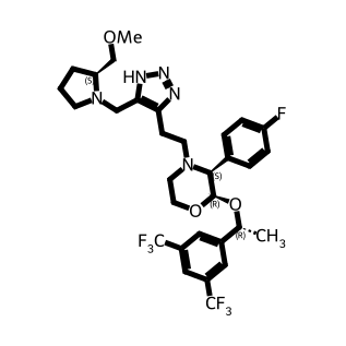 COC[C@@H]1CCCN1Cc1[nH]nnc1CCN1CCO[C@H](O[C@H](C)c2cc(C(F)(F)F)cc(C(F)(F)F)c2)[C@@H]1c1ccc(F)cc1